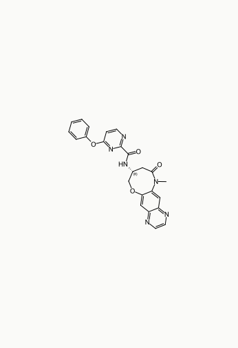 CN1C(=O)C[C@@H](NC(=O)c2nccc(Oc3ccccc3)n2)COc2cc3nccnc3cc21